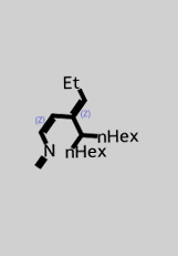 C=N/C=C\C(=C/CC)C(CCCCCC)CCCCCC